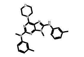 Cc1cccc(Nc2nc3c(N4CCOCC4)nc(N(C)c4cccc(C)c4)nc3n2C)c1